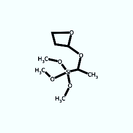 CO[Si](OC)(OC)C(C)OC1CCO1